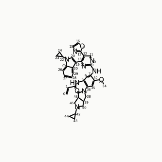 C=CC(=O)Nc1cc(Nc2ncc(-c3ncco3)c(-c3cn(C4CC4)c4ccccc34)n2)c(OC)cc1N1CC2CN(C3CC3)CC2C1